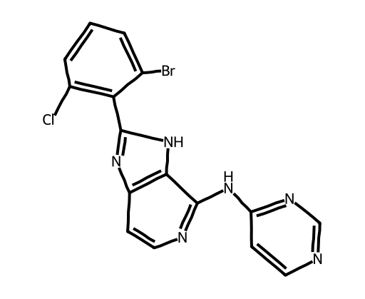 Clc1cccc(Br)c1-c1nc2ccnc(Nc3ccncn3)c2[nH]1